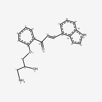 NCC(O)COc1ccccc1C(=O)C=Cc1cccc2[nH]ccc12